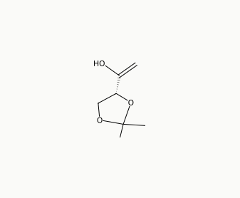 C=C(O)[C@H]1COC(C)(C)O1